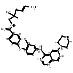 CCC(C)(C/C=C/C(=O)O)CNC(=O)c1ccc(Oc2ccc(Nc3ncnc4cnc(N5CCNCC5)cc34)cc2C)cc1